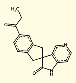 CCC(=O)c1ccc2c(c1)CC1(C2)C(=O)Nc2ccncc21